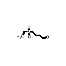 C=CS(=O)(=O)CCC[C]=O